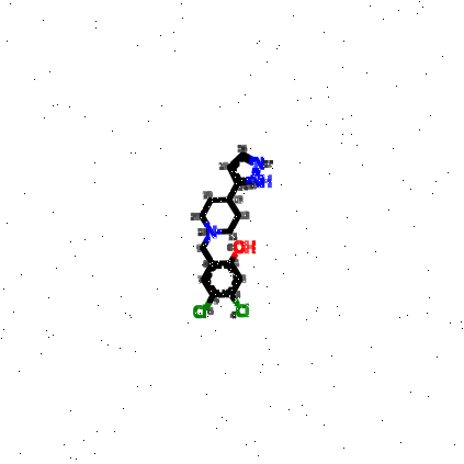 Oc1cc(Cl)c(Cl)cc1CN1CCC(c2ccn[nH]2)CC1